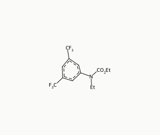 [CH2]CN(C(=O)OCC)c1cc(C(F)(F)F)cc(C(F)(F)F)c1